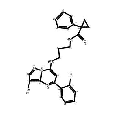 O=C(NCCCNc1cc(-c2ccccc2Cl)nc2c(Br)cnn12)C1(c2ccccc2)CC1